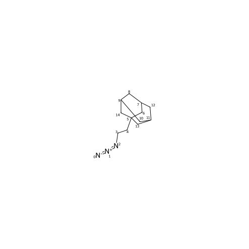 [N-]=[N+]=NCCC12CC3CC(CC(C3)C1)C2